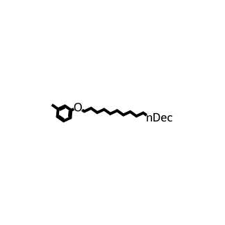 CCCCCCCCCCCCCCCCCCCCOc1cccc(C)c1